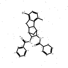 CCc1ccc(C)c2c1CC1C3CC(C(OC(=O)C4C=CC=CC4)C3OC(=O)c3ccccc3)C21